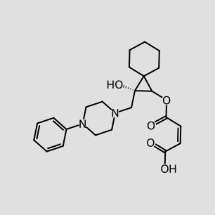 O=C(O)/C=C\C(=O)OC1C2(CCCCC2)[C@]1(O)CN1CCN(c2ccccc2)CC1